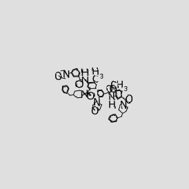 COc1ccc(C(=O)N2CCC(Cc3ccccc3)CC2)cc1NC(=O)c1cccc(N2CCOCC2)c1.Cc1ccc(C(=O)N2CCC(Cc3ccccc3)CC2)cc1NC(=O)c1cccc(N2CCOCC2)c1